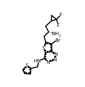 N[C@H](Cc1sc2c(NCc3cccs3)nnnc2c1Br)CC1CC1(F)F